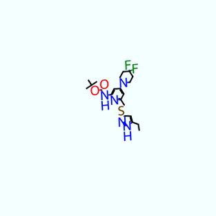 CCc1cc(SCc2cc(N3CCC(F)(F)CC3)cc(NC(=O)OC(C)(C)C)n2)n[nH]1